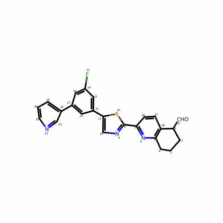 O=CC1CCCc2nc(-c3ncc(-c4cc(F)cc(-c5cccnc5)c4)s3)ccc21